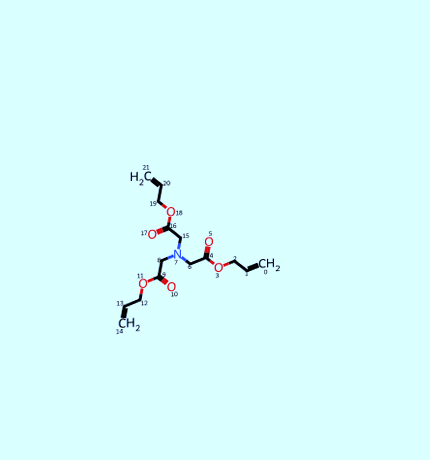 C=CCOC(=O)CN(CC(=O)OCC=C)CC(=O)OCC=C